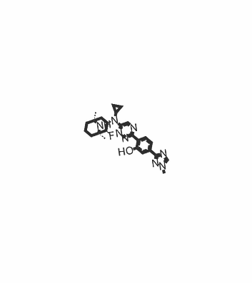 Cn1cnc(-c2ccc(-c3ncc(N(C4CC4)[C@H]4C[C@]5(C)CCC[C@@](C)(N5)[C@H]4F)nn3)c(O)c2)n1